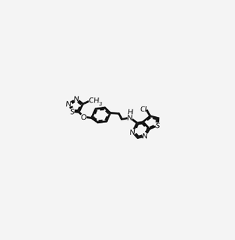 Cc1nnsc1Oc1ccc(CCNc2ncnc3scc(Cl)c23)cc1